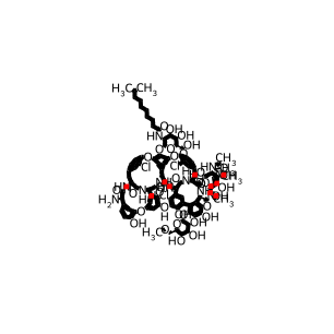 COC[C@H]1O[C@H](Oc2cc(O)cc3c2-c2cc(ccc2O)[C@H]2NC(=O)[C@@H]4NC(=O)[C@H]5NC(=O)[C@@H](Cc6ccc(c(Cl)c6)Oc6cc4cc(c6O[C@@H]4O[C@H](C(=O)O)[C@@H](O)[C@H](O)[C@H]4NC(=O)CCCCCCCC(C)C)Oc4ccc(cc4Cl)[C@@H](O[C@@H]4O[C@H](CO)[C@@H](O)[C@H](O)[C@H]4NC(C)=O)[C@H](NC2=O)C(=O)N[C@H]3C(=O)N(C)CCCN(C)C)NC(=O)[C@H](N)c2ccc(O)c(c2)Oc2cc(O)c(Cl)c5c2)[C@@H](O)[C@@H](O)[C@@H]1O